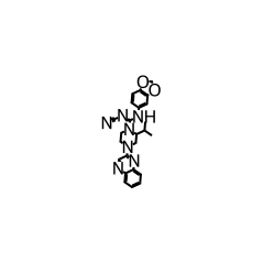 CC(C)C1CN(c2cnc3ccccc3n2)CCN1/C(=N\C#N)Nc1ccc2c(c1)OCO2